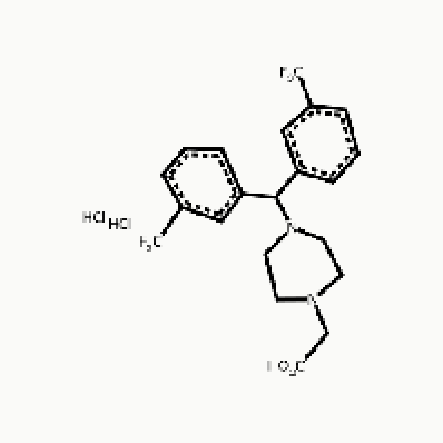 Cl.Cl.O=C(O)CN1CCN(C(c2cccc(C(F)(F)F)c2)c2cccc(C(F)(F)F)c2)CC1